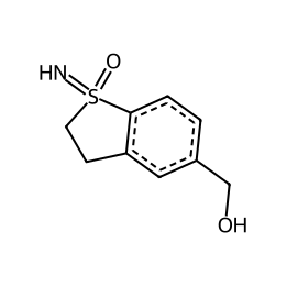 N=S1(=O)CCc2cc(CO)ccc21